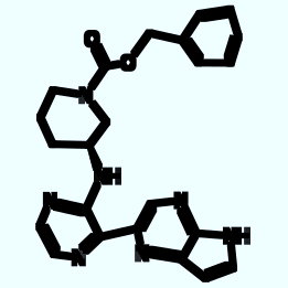 O=C(OCc1ccccc1)N1CCC[C@H](Nc2nccnc2-c2cnc3[nH]ccc3n2)C1